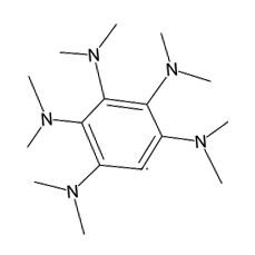 CN(C)c1[c]c(N(C)C)c(N(C)C)c(N(C)C)c1N(C)C